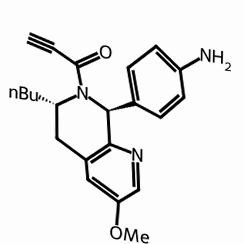 C#CC(=O)N1[C@@H](CCCC)Cc2cc(OC)cnc2[C@@H]1c1ccc(N)cc1